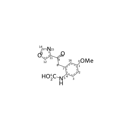 COc1ccc(NC(=O)O)c(CC(=O)c2cocn2)c1